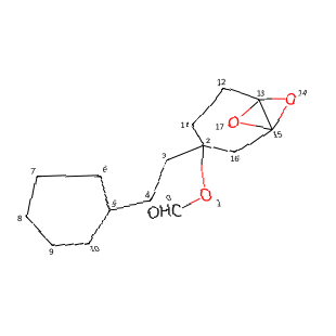 O=COC1(CCC2CCCCC2)CCC23OC2(C1)O3